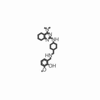 COc1cccc(CNCC2CCC(Nc3nc4c(c(N(C)C)n3)CCCC4)CC2)c1O